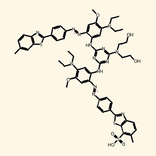 CCN(CC)c1cc(Nc2nc(Nc3cc(N(CC)CC)c(OC)cc3/N=N/c3ccc(-c4nc5ccc(C)c(S(=O)(=O)O)c5s4)cc3)nc(N(CCO)CCO)n2)c(/N=N/c2ccc(-c3nc4ccc(C)cc4s3)cc2)cc1OC